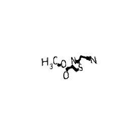 CCOC(=O)c1csc(CC#N)n1